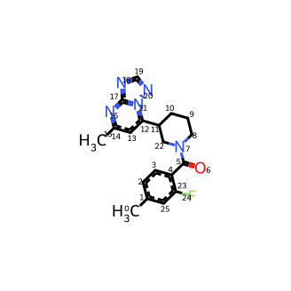 Cc1ccc(C(=O)N2CCCC(c3cc(C)nc4ncnn34)C2)c(F)c1